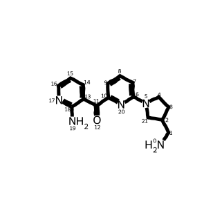 NCC1CCN(c2cccc(C(=O)c3cccnc3N)n2)C1